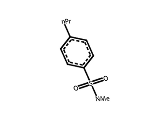 CCCc1ccc(S(=O)(=O)NC)cc1